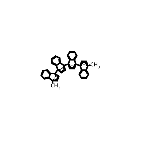 CC12C=CC(C34C=CC(C56C=CC(C78C=CC(C)(O7)c7ccccc78)(O5)c5ccccc56)(O3)c3ccccc34)(O1)c1ccccc12